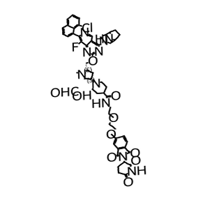 CN1C[C@@H](N2CCC(C(=O)NCCOCCOc3ccc4c(c3)C(=O)N(C3CCC(=O)NC3=O)C4=O)CC2)C[C@H]1COc1nc(N2CC3CCC(C2)N3)c2cnc(-c3cccc4cccc(Cl)c34)c(F)c2n1.O=CO